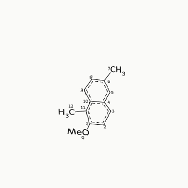 COc1ccc2cc(C)ccc2c1C